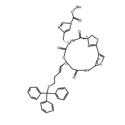 CC(C)(C)OC(=O)n1cnc(C[C@@H]2NC(=O)[C@]3(C)CSC(=N3)c3csc(n3)CNC(=O)C[C@@H](/C=C/CCSC(c3ccccc3)(c3ccccc3)c3ccccc3)OC2=O)c1